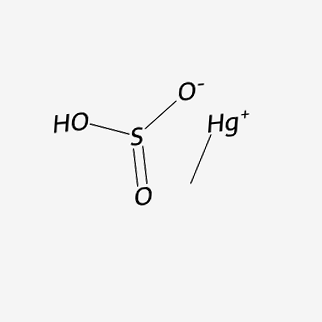 O=S([O-])O.[CH3][Hg+]